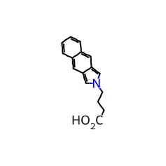 O=C(O)CCCn1cc2cc3ccccc3cc2c1